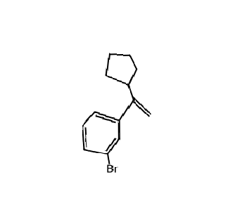 C=C(c1cccc(Br)c1)C1CCCC1